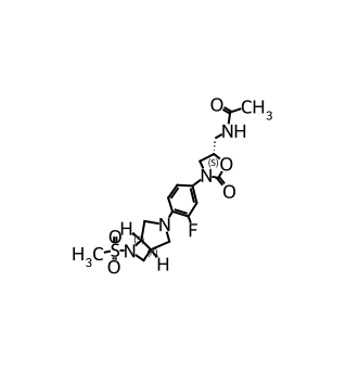 CC(=O)NC[C@H]1CN(c2ccc(N3C[C@@H]4CN(S(C)(=O)=O)[C@@H]4C3)c(F)c2)C(=O)O1